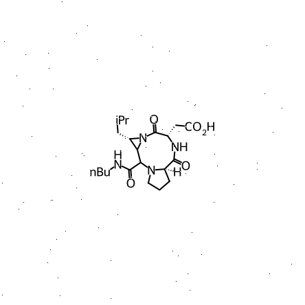 CCCCNC(=O)C1C2[C@H](CC(C)C)N2C(=O)[C@H](CC(=O)O)NC(=O)[C@H]2CCCN12